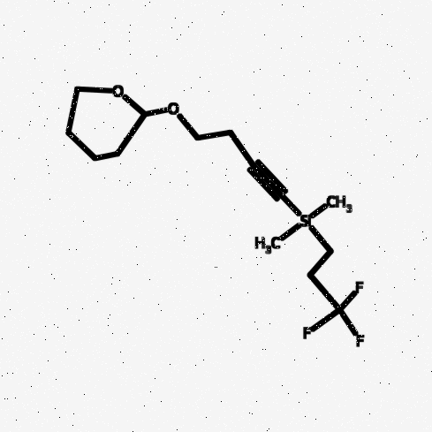 C[Si](C)(C#CCCOC1CCCCO1)CCC(F)(F)F